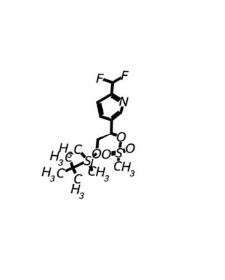 CC(C)(C)[Si](C)(C)OC[C@H](OS(C)(=O)=O)c1ccc(C(F)F)nc1